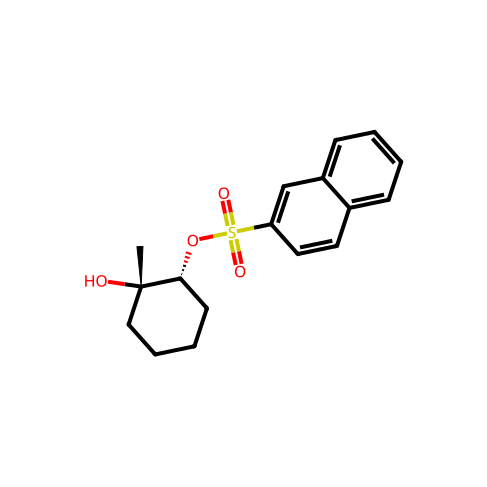 C[C@]1(O)CCCC[C@H]1OS(=O)(=O)c1ccc2ccccc2c1